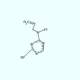 C=CCN(CC)c1ncnc(O)n1